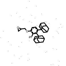 CC(C)c1c(OCC2CO2)ccc(C23CC4CC(CC(C4)C2)C3)c1C12CC3CC(CC(C3)C1)C2